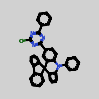 Clc1nc(-c2ccccc2)nc(-c2ccc3c(c2)C2(c4ccccc4-c4ccccc42)c2ccccc2N3c2ccccc2)n1